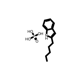 CCCCCc1cc2ccccc2[nH]1.O=P(O)(O)O